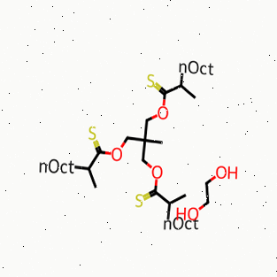 CCCCCCCCC(C)C(=S)OCC(C)(COC(=S)C(C)CCCCCCCC)COC(=S)C(C)CCCCCCCC.OCCO